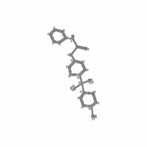 O=C(Nc1ccccc1)Oc1ccc(C(c2ccc(O)cc2)(C(F)(F)F)C(F)(F)F)cc1